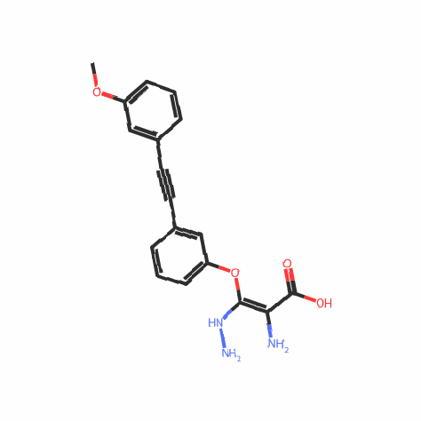 COc1cccc(C#Cc2cccc(O/C(NN)=C(/N)C(=O)O)c2)c1